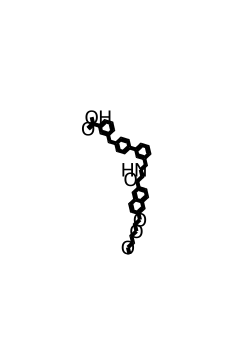 COCCOCOc1ccc2cc(C(=O)CNCc3cccc(-c4ccc(Cc5cccc(C(=O)O)c5)cc4)c3)ccc2c1